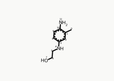 Cc1cc(NCCO)ccc1N